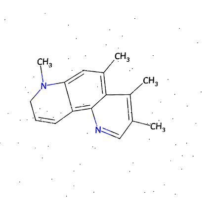 Cc1cnc2c3c(cc(C)c2c1C)N(C)CC=C3